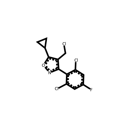 Fc1cc(Cl)c(-c2noc(C3CC3)c2CCl)c(Cl)c1